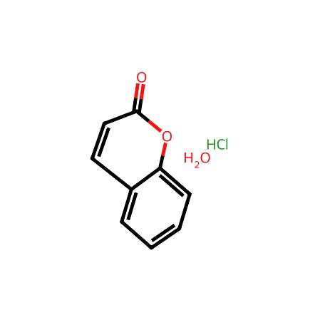 Cl.O.O=c1ccc2ccccc2o1